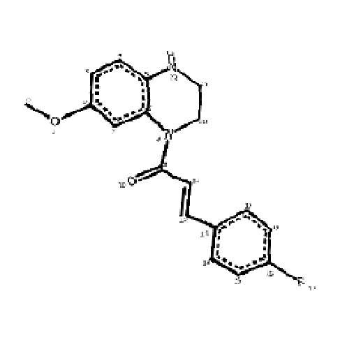 COc1ccc2c(c1)N(C(=O)C=Cc1ccc(F)cc1)CCN2